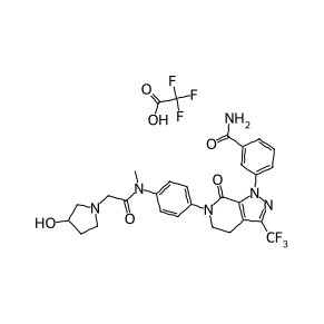 CN(C(=O)CN1CCC(O)C1)c1ccc(N2CCc3c(C(F)(F)F)nn(-c4cccc(C(N)=O)c4)c3C2=O)cc1.O=C(O)C(F)(F)F